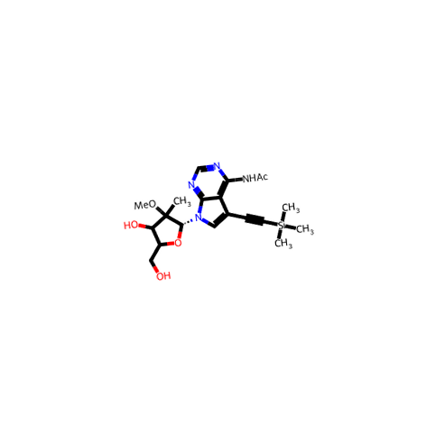 COC1(C)C(O)C(CO)O[C@H]1n1cc(C#C[Si](C)(C)C)c2c(NC(C)=O)ncnc21